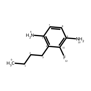 CCCCc1c(N)ccc(N)c1F